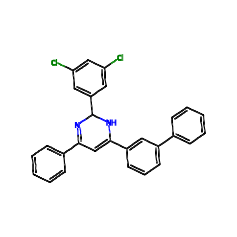 Clc1cc(Cl)cc(C2N=C(c3ccccc3)C=C(c3cccc(-c4ccccc4)c3)N2)c1